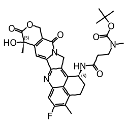 Cc1c(F)cc2nc3c(c4c2c1CC[C@@H]4NC(=O)CCN(C)C(=O)OC(C)(C)C)Cn1c-3cc2c(c1=O)COC(=O)[C@@]2(C)O